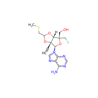 C#C[C@@]12OC(CSC)O[C@@H]1[C@](CO)(CF)O[C@H]2n1cnc2c(N)ncnc21